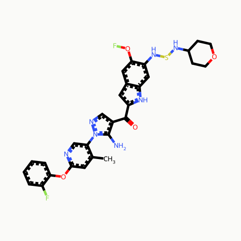 Cc1cc(Oc2ccccc2F)ncc1-n1ncc(C(=O)c2cc3cc(OF)c(NSNC4CCOCC4)cc3[nH]2)c1N